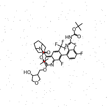 CC(C)(C)OC(=O)Nc1nc2c(-c3c(C(F)(F)F)cc4c(N5CC6CCC(C5)N6C(=O)OC(C)(C)C)nc(OCC5COCC5O)nc4c3F)ccc(F)c2s1